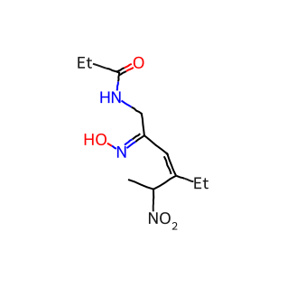 CCC(=O)NCC(C=C(CC)C(C)[N+](=O)[O-])=NO